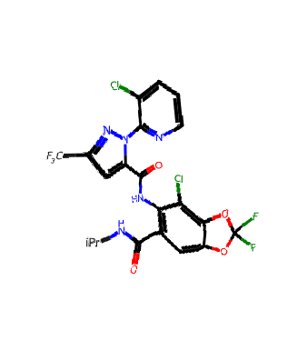 CC(C)NC(=O)c1cc2c(c(Cl)c1NC(=O)c1cc(C(F)(F)F)nn1-c1ncccc1Cl)OC(F)(F)O2